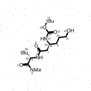 CNC(=O)[C@@H](NC(=O)C[C@H](CCCO)NC(=O)OC(C)(C)C)C(C)(C)C